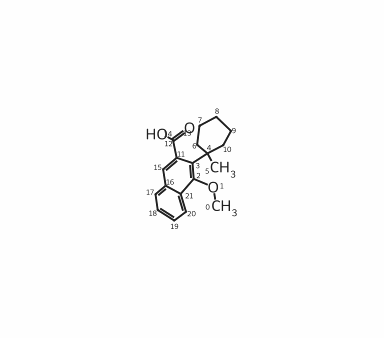 COc1c(C2(C)CCCCC2)c(C(=O)O)cc2ccccc12